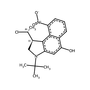 C[C@@H](Cl)[C@@H]1CN(C(C)(C)C)c2cc(O)c3cccc([N+](=O)[O-])c3c21